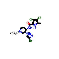 Cc1[nH]c(C(=O)N[C@@H]2CCN(C(=O)O)C[C@@H]2n2cc(Br)nn2)c(Cl)c1Cl